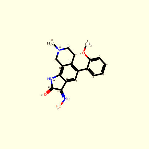 COc1ccccc1-c1cc2c(c3c1CCN(C)C3)NC(=O)/C2=N\O